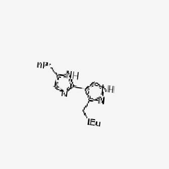 CCCc1cnc(-c2c[nH]nc2CC(C)(C)C)[nH]1